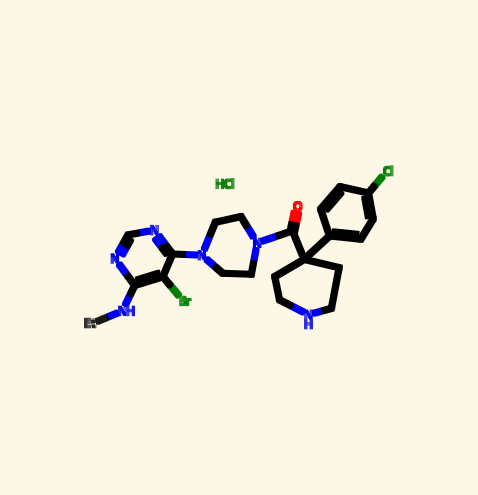 CCNc1ncnc(N2CCN(C(=O)C3(c4ccc(Cl)cc4)CCNCC3)CC2)c1Br.Cl